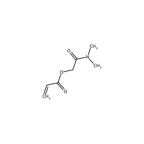 C=CC(=O)OCC(=O)N(C)C